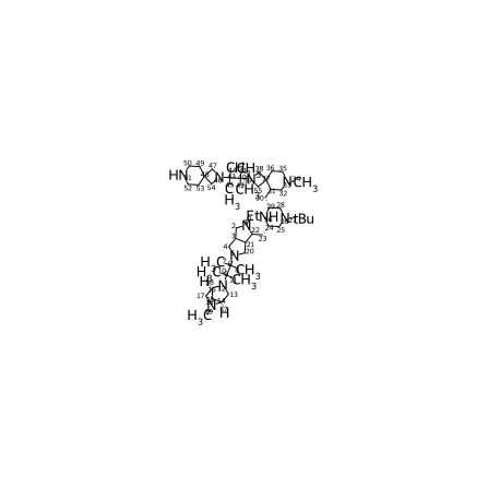 CCN1CC2CN(C(C)(C)C(C)(C)N3C[C@@H]4C[C@H]3CN4C)CC2C1C[C@H]1CN(C(C)(C)C)C[C@@H](CC2CN(C)CCC23CN(C(C)(C)C(C)(C)N2CC4(CCNCC4)C2)C3)N1